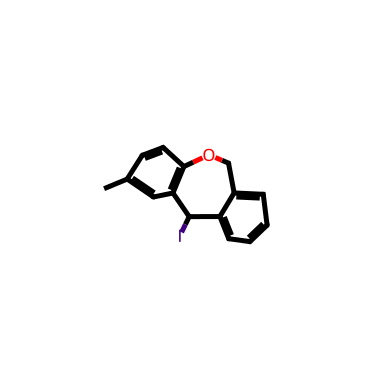 Cc1ccc2c(c1)C(I)c1ccccc1CO2